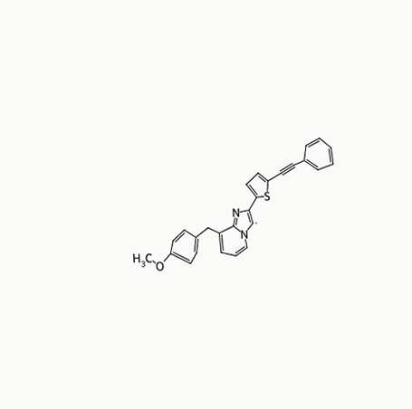 COc1ccc(Cc2cccn3[c]c(-c4ccc(C#Cc5ccccc5)s4)nc23)cc1